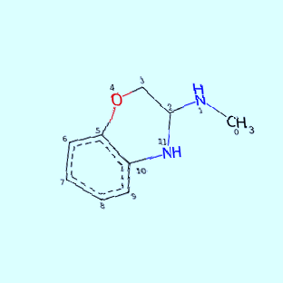 CNC1COc2ccccc2N1